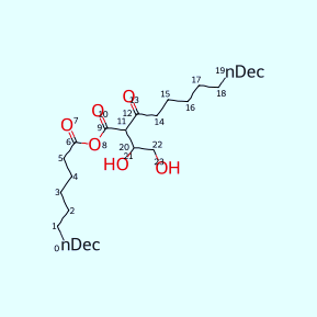 CCCCCCCCCCCCCCCC(=O)OC(=O)C(C(=O)CCCCCCCCCCCCCCC)C(O)CO